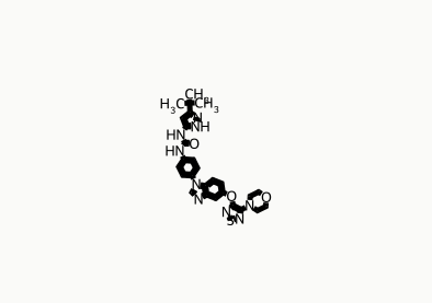 CC(C)(C)c1cc(NC(=O)Nc2ccc(-n3cnc4cc(Oc5nsnc5N5CCOCC5)ccc43)cc2)[nH]n1